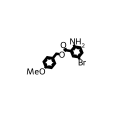 COc1ccc(COC(=O)c2cc(Br)ccc2N)cc1